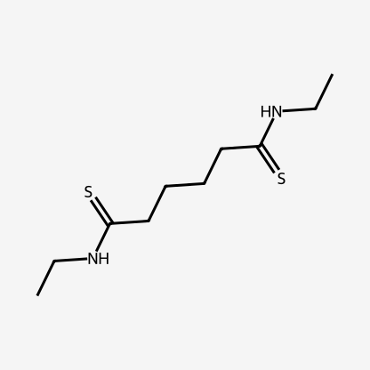 CCNC(=S)CCCCC(=S)NCC